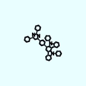 c1ccc(-c2cc(-c3ccc(-c4cc5c6ccccc6n(-c6ccccc6)c5c5c6ccccc6n(-c6ccccc6)c45)cc3)nc(-c3ccccc3)n2)cc1